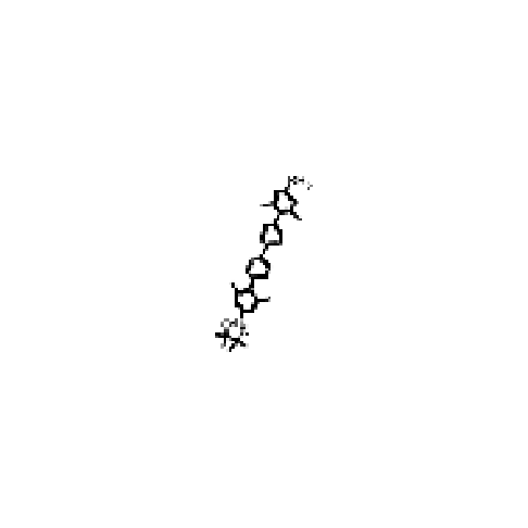 Bc1cc(C)c(-c2ccc(-c3ccc(-c4c(C)cc(B5OC(C)(C)C(C)(C)O5)cc4C)cc3)cc2)c(C)c1